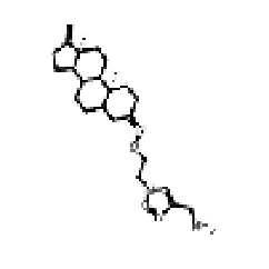 C=C1CCC2C3CCC4CC(=NOCCn5cc(CN)nn5)CC[C@]4(C)C3CC[C@]12C